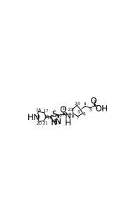 O=C(O)CC[C@H]1CC[C@H](NC(=O)c2nnc(C3CCNCC3)s2)CC1